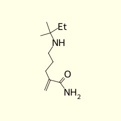 C=C(CCCNC(C)(C)CC)C(N)=O